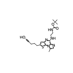 Cc1cnc2c(NCCNC(=O)OC(C)(C)C)nc3cc(CCCC#CO)sc3n12